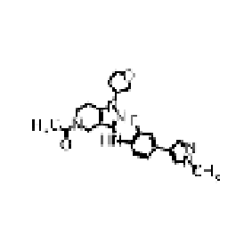 CC(=O)N1CCc2c(c(Nc3ccc(-c4cnn(C)c4)cc3F)nn2C2CCOC2)C1